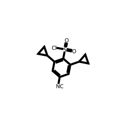 [C-]#[N+]c1cc(C2CC2)c(S(=O)(=O)Cl)c(C2CC2)c1